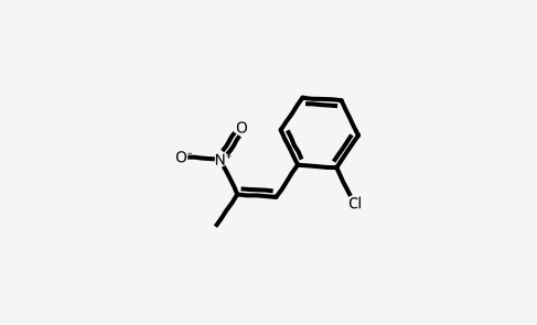 CC(=Cc1ccccc1Cl)[N+](=O)[O-]